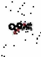 CC(C)(C)[Si](C)(C)Oc1ccc2c3c(c(=O)oc2c1)CC=CCC3